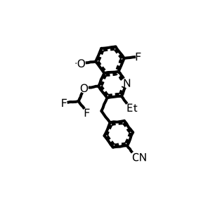 CCc1nc2c(F)ccc([O])c2c(OC(F)F)c1Cc1ccc(C#N)cc1